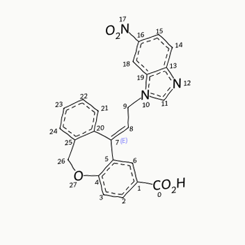 O=C(O)c1ccc2c(c1)/C(=C/Cn1cnc3ccc([N+](=O)[O-])cc31)c1ccccc1CO2